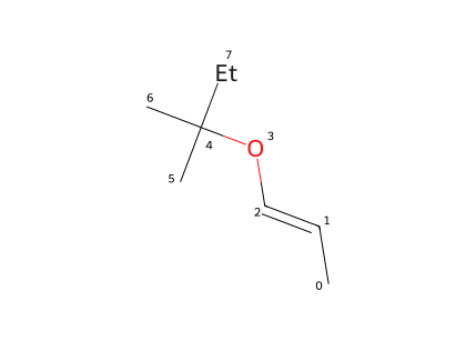 CC=COC(C)(C)CC